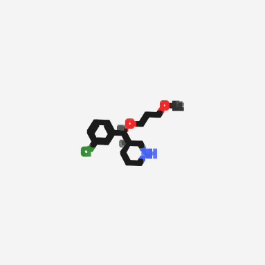 CCOCCCO[C@@H](c1cccc(Cl)c1)[C@@H]1CCCNC1